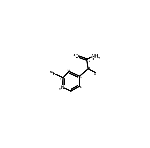 CC(C(N)=O)c1ccnc(F)c1